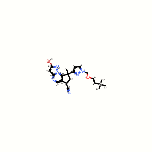 CC1(c2ccn(COCC[Si](C)(C)C)n2)CC(C#N)c2cnc3cc(Br)nn3c21